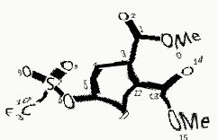 COC(=O)C1C=C(OS(=O)(=O)C(F)(F)F)CC1C(=O)OC